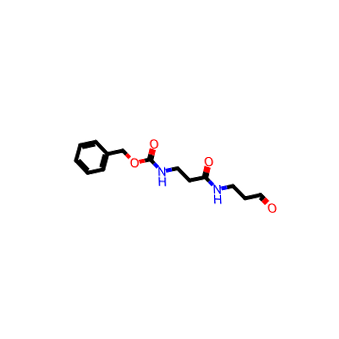 O=CCCNC(=O)CCNC(=O)OCc1ccccc1